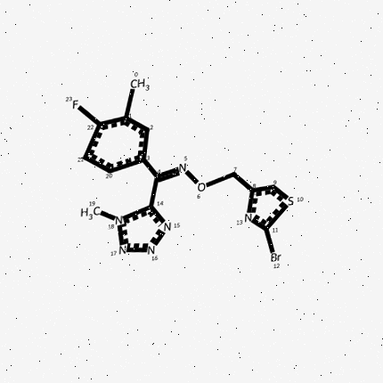 Cc1cc(/C(=N/OCc2csc(Br)n2)c2nnnn2C)ccc1F